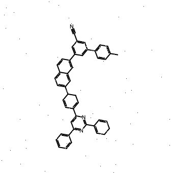 Cc1ccc(-c2cc(C#N)cc(-c3ccc4ccc(C5C=CC(c6cc(-c7ccccc7)nc(C7=CCCC=C7)n6)=CC5)cc4c3)c2)cc1